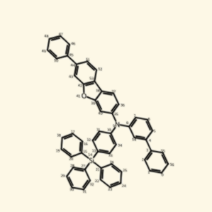 c1ccc(-c2cccc(N(c3ccc([Si](c4ccccc4)(c4ccccc4)c4ccccc4)cc3)c3ccc4c(c3)oc3cc(-c5ccccc5)ccc34)c2)cc1